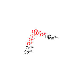 [Cr+3].[Mn+2].[O-2].[O-2].[O-2].[O-2].[O-2].[O-2].[Sb+3].[Ti+4]